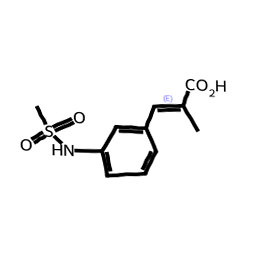 C/C(=C\c1cccc(NS(C)(=O)=O)c1)C(=O)O